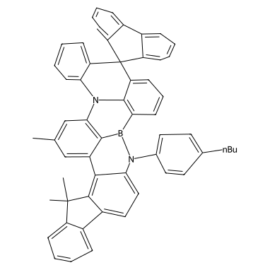 CCCCc1ccc(N2B3c4cccc5c4N(c4ccccc4C54c5ccccc5-c5ccccc54)c4cc(C)cc(c43)-c3c2ccc2c3C(C)(C)c3ccccc3-2)cc1